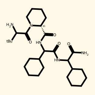 CC(C)(C)C(N)C(=O)N1CCCC[C@@H]1C(=O)NC(C(=O)NC(C(N)=O)C1CCCCC1)C1CCCCC1